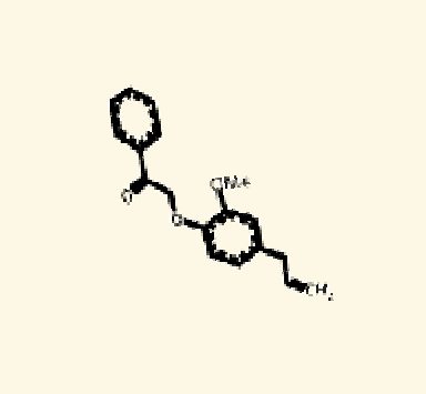 C=CCc1ccc(OCC(=O)c2ccccc2)c(OC)c1